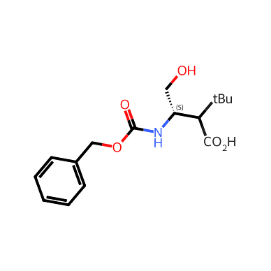 CC(C)(C)C(C(=O)O)[C@@H](CO)NC(=O)OCc1ccccc1